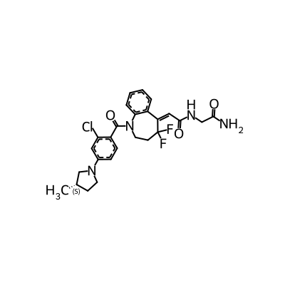 C[C@H]1CCN(c2ccc(C(=O)N3CCC(F)(F)C(=CC(=O)NCC(N)=O)c4ccccc43)c(Cl)c2)C1